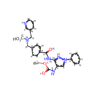 CC(C)(C)OC(=O)Nc1cn(-c2ccccc2)nc1NC(=O)c1ccc(CN(Cc2cccnc2)C(=O)O)cc1